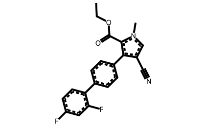 CCOC(=O)c1c(-c2ccc(-c3ccc(F)cc3F)cc2)c(C#N)cn1C